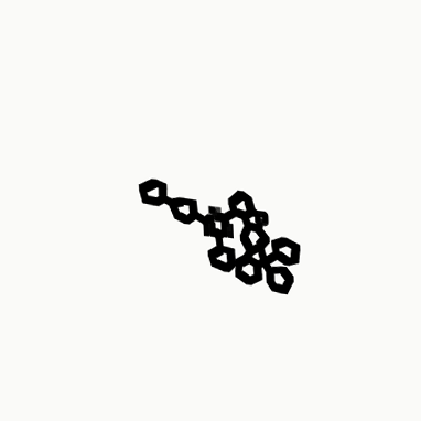 c1ccc(-c2ccc(-c3nc(-c4ccccc4)nc(-c4cccc5oc6cc7c(cc6c45)-c4ccccc4C7(c4ccccc4)c4ccccc4)n3)cc2)cc1